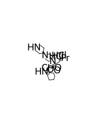 CC(C)CC(C(=O)OC1(NC=O)CCCCC1)N1CCN(C2CCNCC2)CC1.Cl.Cl